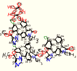 COC(=O)c1cncn1C(c1ccc(Cl)cc1)c1ccc2c(c1)c(-c1ccccc1)cc(=O)n2C.COC(=O)c1cncn1C(c1ccc(Cl)cc1)c1ccc2c(c1)c(-c1ccccc1)cc(=O)n2C.COC(=O)c1cncn1C(c1ccc(Cl)cc1)c1ccc2c(c1)c(-c1ccccc1)cc(=O)n2C.O=C(O)C(=O)O.O=C(O)C(=O)O